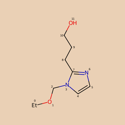 CCOCn1ccnc1CCCO